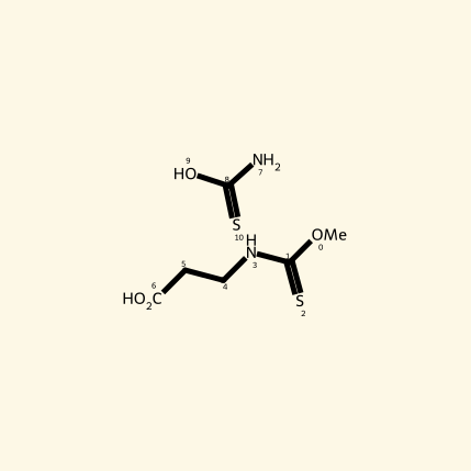 COC(=S)NCCC(=O)O.NC(O)=S